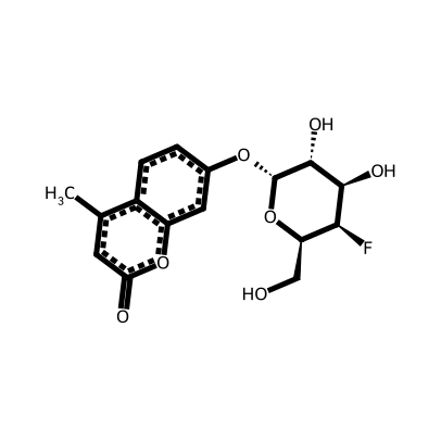 Cc1cc(=O)oc2cc(O[C@H]3O[C@H](CO)[C@H](F)[C@H](O)[C@H]3O)ccc12